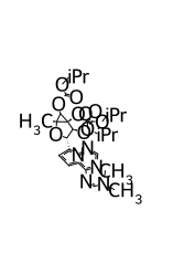 CC(C)OC(=O)OC1[C@@]2(C)O[C@@H](c3ccc4c(/N=C\N(C)C)ncnn34)[C@H](OC(=O)OC(C)C)[C@@]12OC(=O)OC(C)C